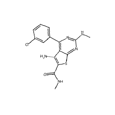 CNC(=O)c1sc2nc(NC)nc(-c3cccc(Cl)c3)c2c1N